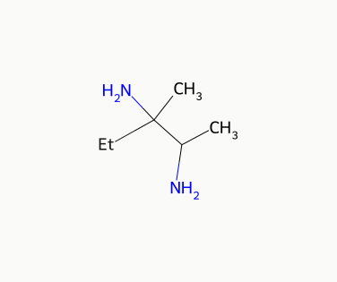 [CH2]CC(C)(N)C(C)N